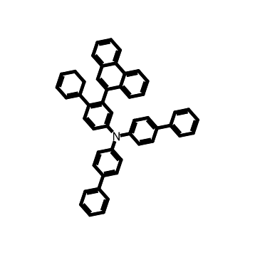 C1=CCCC(c2ccc(N(c3ccc(-c4ccccc4)cc3)c3ccc(-c4ccccc4)cc3)cc2-c2cc3ccccc3c3ccccc23)=C1